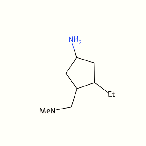 CCC1CC(N)CC1CNC